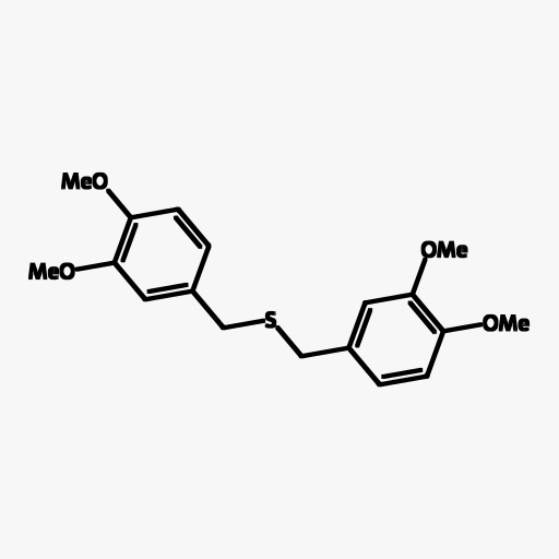 COc1ccc(CSCc2ccc(OC)c(OC)c2)cc1OC